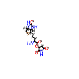 N=C(CCC[C@@H]1SC[C@@H]2NC(=O)N[C@@H]21)C(=O)OC1CC(=O)NC1=O